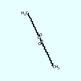 CCCCCCCCCCCCCCCC=CC(=O)OCCOC(=O)C=CCCCCCCCCCCCCCCC